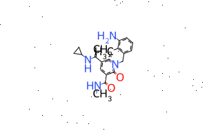 C=C(NC1CC1)c1cc(C(=O)NC)c(=O)n(Cc2cccc(N)c2C)c1